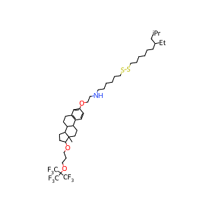 CCC(CCCCCCSSCCCCCCNCCOc1ccc2c(c1)CCC1C2CCC2(C)C(OCCCOC(C(F)(F)F)(C(F)(F)F)C(F)(F)F)CCC12)CC(C)C